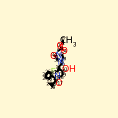 CCOC(=O)CN1CCN(C/C=C2/CN(C(C(=O)C3CC3)c3ccccc3F)CCC2O)CC1=O